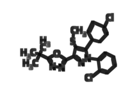 CSc1c(-c2nnc(C(C)(C)C)o2)nn(-c2ccccc2Cl)c1C1C=CC(Cl)=CC1